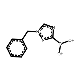 OB(O)c1ncn(Cc2ccccc2)n1